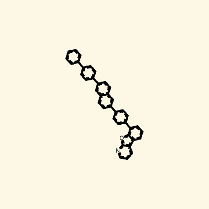 c1ccc(-c2ccc(-c3ccc4cc(-c5ccc(-c6cccc7c6oc6ncccc67)cc5)ccc4c3)cc2)cc1